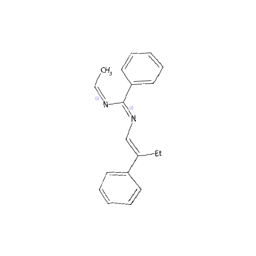 C/C=N\C(=N/C=C(CC)c1ccccc1)c1ccccc1